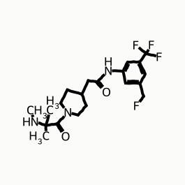 CNC(C)(C)C(=O)N1CCC(CC(=O)Nc2cc(CF)cc(C(F)(F)F)c2)CC1